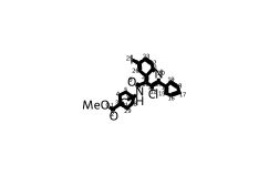 COC(=O)C12CCC(NC(=O)c3c(Cl)c(-c4ccccc4)nc4ccc(I)cc34)(CC1)CC2